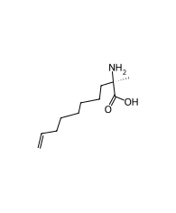 C=CCCCCCC[C@@](C)(N)C(=O)O